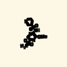 COc1nc(S(C)(=O)=O)cnc1NS(=O)(=O)c1cccnc1